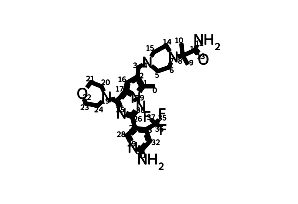 Cc1c(CN2CCN(C(C)(C)C(N)=O)CC2)cc2c(N3CCOCC3)nc(-c3cnc(N)cc3C(F)(F)F)nn12